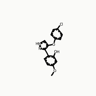 COc1ccc(-c2n[nH]cc2Oc2ccc(Cl)cc2)c(O)c1